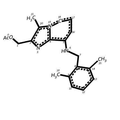 CC(=O)OCc1nc2c(NCc3c(C)cccc3C)cccn2c1C